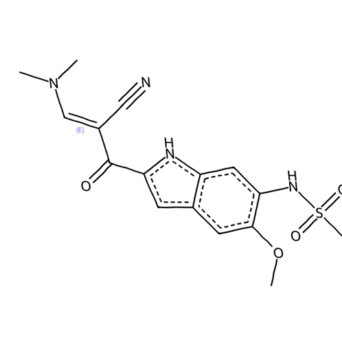 COc1cc2cc(C(=O)/C(C#N)=C/N(C)C)[nH]c2cc1NS(C)(=O)=O